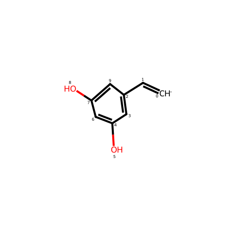 [CH]=Cc1cc(O)cc(O)c1